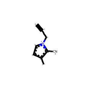 C#CCn1ccc([CH2])c1C#N